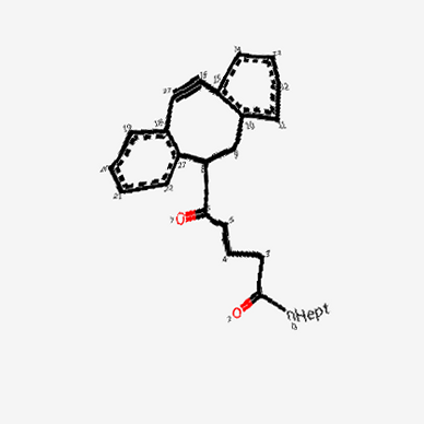 CCCCCCCC(=O)CCCC(=O)C1Cc2ccccc2C#Cc2ccccc21